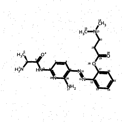 C[C@H](N)C(=O)Nc1ccc(/N=N/c2ccccc2OC(=O)CCN(C)C)c(N)n1